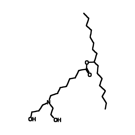 CCCCCCCCC(CCCCCCCC)OC(=O)CCCCCCCN(CCO)CCCO